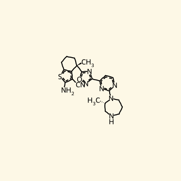 C[C@H]1CNCCCN1c1nccc(-c2noc([C@@]3(C)CCCc4sc(N)c(C#N)c43)n2)n1